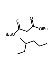 CC(C)COC(=O)CC(=O)OCC(C)C.CCCC(C)CC